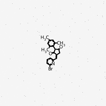 Cc1cc(C)c(C2C(=O)CC(=Cc3cccc(Br)n3)C2=O)c(C)c1